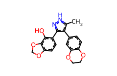 Cc1[nH]nc(-c2ccc3c(c2O)OCO3)c1-c1ccc2c(c1)OCCO2